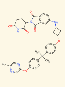 CC(=O)c1cnc(Oc2ccc(C(C)(C)c3ccc(O[C@H]4C[C@H](Nc5ccc6c(c5)C(=O)N(C5CCC(=O)NC5=O)C6=O)C4)cc3)cc2)cn1